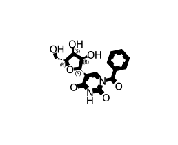 O=C(c1ccccc1)n1cc([C@@H]2O[C@H](CO)[C@@H](O)[C@H]2O)c(=O)[nH]c1=O